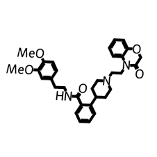 COc1ccc(CCNC(=O)c2ccccc2C2CCN(CCN3C(=O)COc4ccccc43)CC2)cc1OC